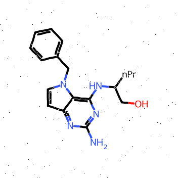 CCCC(CO)Nc1nc(N)nc2ccn(Cc3ccccc3)c12